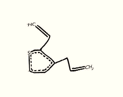 [CH]=Cc1s[c]cc1CC=C